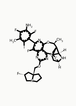 Cc1c(F)c(N)c(F)c(-c2nc3c4c(nc(OC[C@@]56CCCN5C[C@H](F)C6)nc4c2F)N2C[C@H]4CC5[C@H](N4)C52[C@H](C)O3)c1I